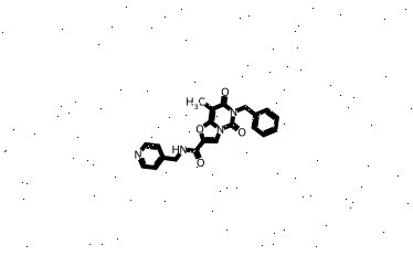 Cc1c(=O)n(Cc2ccccc2)c(=O)n2cc(C(=O)NCc3ccncc3)oc12